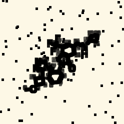 CO[C@H]1C[C@](c2cccc(N3Cc4c(cc(CNC56CC(C5)C6)cc4C(F)(F)F)C3=O)c2)(c2nncn2C)C1